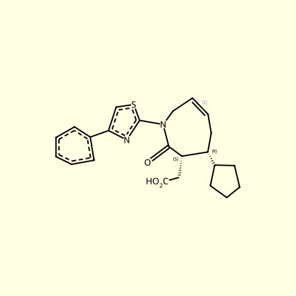 O=C(O)C[C@@H]1C(=O)N(c2nc(-c3ccccc3)cs2)C/C=C\C[C@@H]1C1CCCC1